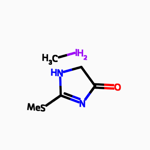 CSC1=NC(=O)CN1.C[IH2]